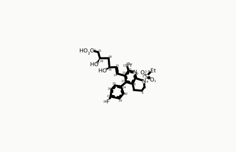 CCS(=O)(=O)N1CCCc2c1nc(C(C)C)c(/C=C/[C@@H](O)C[C@@H](O)CC(=O)O)c2-c1ccc(F)cc1